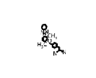 Cc1ccc(-n2nc3ccccc3n2)c(C)c1OCc1ccc(C=C(C#N)C#N)cc1